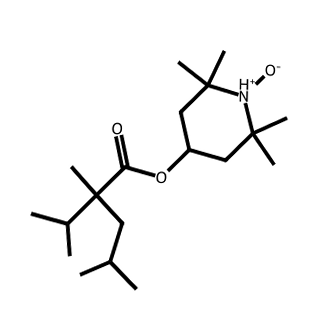 CC(C)CC(C)(C(=O)OC1CC(C)(C)[NH+]([O-])C(C)(C)C1)C(C)C